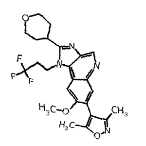 COc1cc2c(cc1-c1c(C)noc1C)ncc1nc(C3CCOCC3)n(CCC(F)(F)F)c12